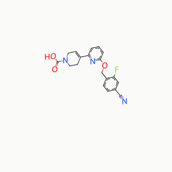 N#Cc1ccc(COc2cccc(C3=CCN(C(=O)O)CC3)n2)c(F)c1